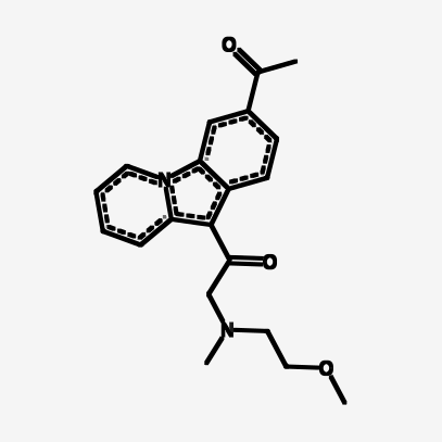 COCCN(C)CC(=O)c1c2ccc(C(C)=O)cc2n2ccccc12